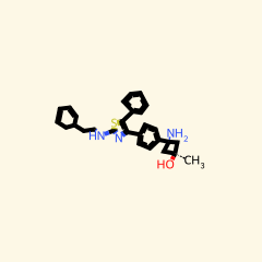 C[C@]1(O)C[C@@](N)(c2ccc(-c3nc(NCCC4C=CC=CC4)sc3-c3ccccc3)cc2)C1